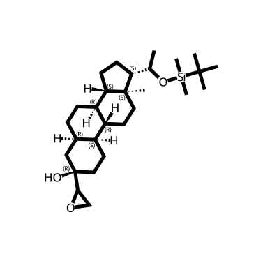 CC(O[Si](C)(C)C(C)(C)C)[C@H]1CC[C@H]2[C@@H]3CC[C@@H]4C[C@@](O)(C5CO5)CC[C@@H]4[C@H]3CC[C@]12C